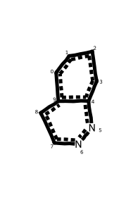 [c]1cc[c]c2nnccc12